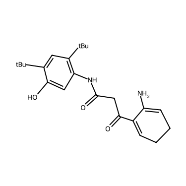 CC(C)(C)c1cc(C(C)(C)C)c(NC(=O)CC(=O)C2=CCCC=C2N)cc1O